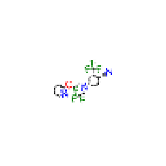 N#Cc1ccc(N(CCOc2ccccn2)CC(F)(F)F)cc1C(F)(F)F